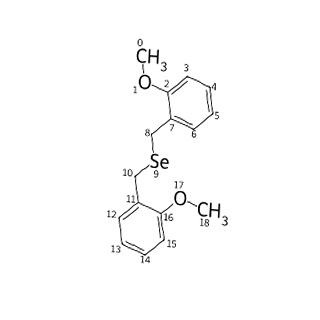 COc1ccccc1C[Se]Cc1ccccc1OC